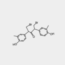 Cc1cc(C(CBr)C(=O)C(CBr)c2ccc(O)c(C)c2)ccc1O